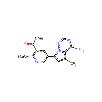 CNC(=O)c1cc(-c2cc(C(F)(F)F)c3c(N)ncnn23)cnc1OC